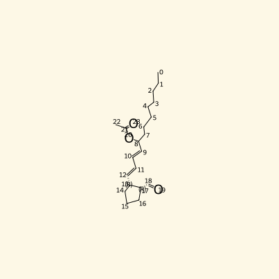 CCCCCCCCC(C=CC=C[C@H]1CCC[C@H]1C=O)OC(C)=O